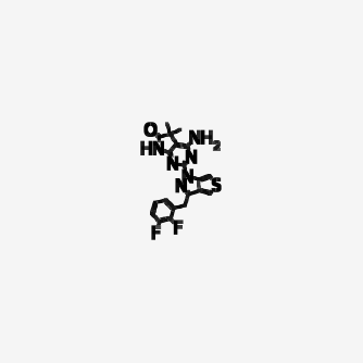 CC1(C)C(=O)Nc2nc(-n3nc(Cc4cccc(F)c4F)c4cscc43)nc(N)c21